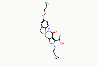 CCCCOc1ccc2c(c1)CC[C@]21Cc2nn(CCC3CC3)c(C(=O)O)c2C(=O)N1